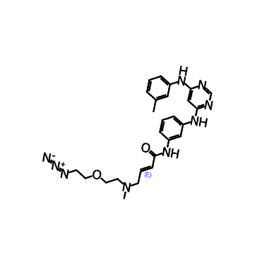 Cc1cccc(Nc2cc(Nc3cccc(NC(=O)/C=C/CN(C)CCOCCN=[N+]=[N-])c3)ncn2)c1